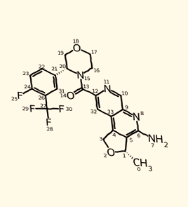 C[C@@H]1OCc2c1c(N)nc1cnc(C(=O)N3CCOC[C@H]3c3ccc(F)c(C(F)(F)F)c3)cc21